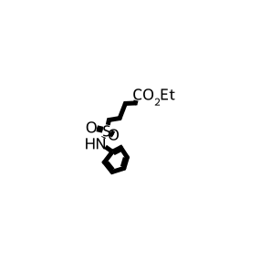 CCOC(=O)CCCCS(=O)(=O)Nc1ccccc1